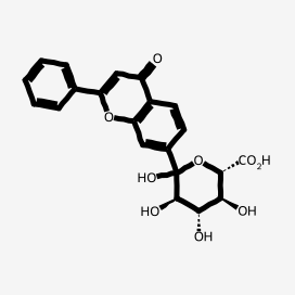 O=C(O)[C@H]1OC(O)(c2ccc3c(=O)cc(-c4ccccc4)oc3c2)[C@H](O)[C@@H](O)[C@@H]1O